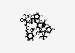 COC(=O)C(COCc1ccccc1)NC(=O)C1(CC(OC(C)(C)C)C(=C=O)N(C(=O)OC(C)(C)C)C(=O)[C@@H]2CCCN2)CCCC1